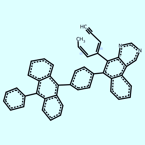 C#C/C=C(\C=C/C)c1c(-c2ccc(-c3c4ccccc4c(-c4ccccc4)c4ccccc34)cc2)c2ccccc2c2cncnc12